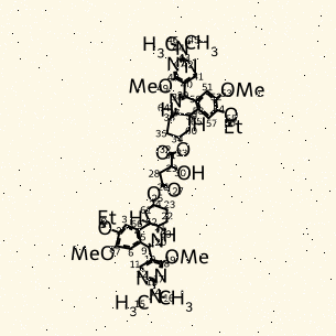 CCOc1cc2c(cc1OC)C(c1cnc(N(C)C)nc1OC)=N[C@H]1CC[C@H](OC(=O)CC(O)C(=O)O[C@H]3CC[C@@H]4N=C(c5cnc(N(C)C)nc5OC)c5cc(OC)c(OCC)cc5[C@@H]4C3)C[C@@H]21